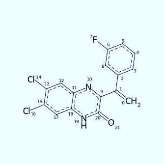 C=C(c1cccc(F)c1)c1nc2cc(Cl)c(Cl)cc2[nH]c1=O